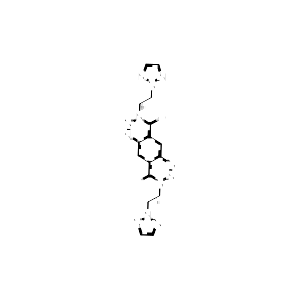 C[C@H](Cn1nccn1)n1nnc2cc3c(=O)n([C@H](C)Cn4nccn4)nnc3cc2c1=O